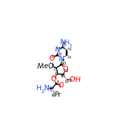 COC1C(OC(=O)[C@@H](N)C(C)C)[C@@H](CO)O[C@H]1n1ccc(N)nc1=O